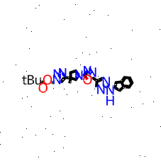 CC(C)(C)C(=O)OCn1cc(C2(C)CCN(c3nnc(-c4cnc(NC5Cc6ccccc6C5)nc4)o3)C2)nn1